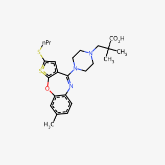 CCCSc1cc2c(s1)Oc1cc(C)ccc1N=C2N1CCN(CC(C)(C)C(=O)O)CC1